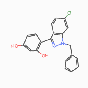 Oc1ccc(-c2nn(Cc3ccccc3)c3cc(Cl)ccc23)c(O)c1